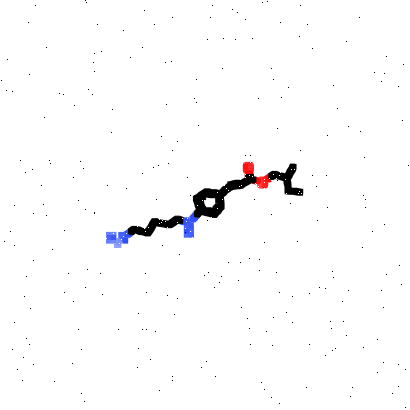 CCC(C)COC(=O)/C=C/c1ccc(NCCCCCN)cc1